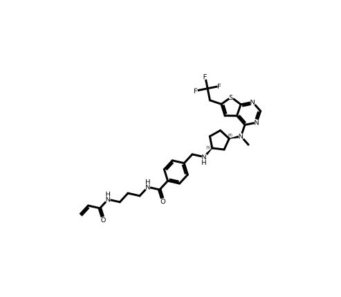 C=CC(=O)NCCCNC(=O)c1ccc(CN[C@H]2CC[C@@H](N(C)c3ncnc4sc(CC(F)(F)F)cc34)C2)cc1